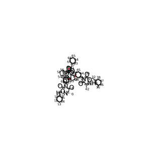 C[C@H](N)C(=O)N(C(=O)OCc1ccccc1)c1ccc(OP(=O)(Oc2ccc(N(C(=O)OCc3ccccc3)C(=O)[C@H](C)N)cc2)[C@@H]2CCCN2C(=O)[C@@H]2CCCN2C(=O)OCc2ccccc2)cc1